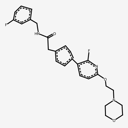 O=C(Cc1ccc(-c2ccc(OCCN3CCOCC3)nc2F)cc1)NCc1cccc(F)c1